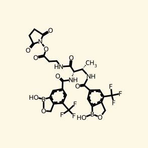 C[C@H](NC(=O)c1cc2c(c(C(F)(F)F)c1)COB2O)[C@H](NC(=O)c1cc2c(c(C(F)(F)F)c1)COB2O)C(=O)NCCC(=O)ON1C(=O)CCC1=O